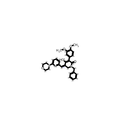 COc1ccc(C2=C(O)/C(=C\c3cccc(N4CCOCC4)n3)CN(Cc3ccccc3)C2=O)cc1OC